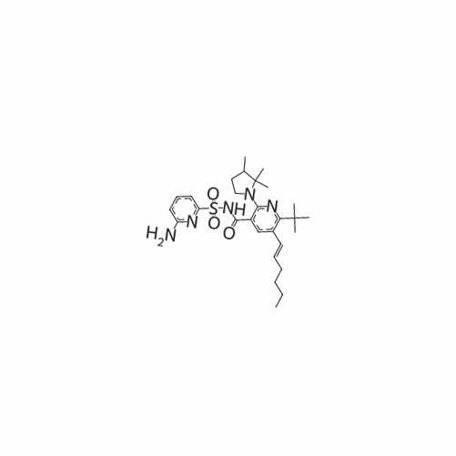 CCCC/C=C/c1cc(C(=O)NS(=O)(=O)c2cccc(N)n2)c(N2CCC(C)C2(C)C)nc1C(C)(C)C